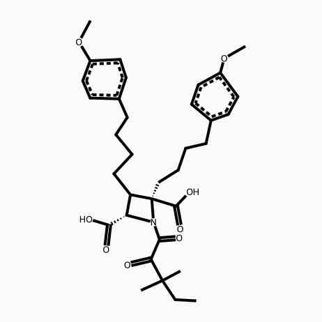 CCC(C)(C)C(=O)C(=O)N1[C@H](C(=O)O)C(CCCCc2ccc(OC)cc2)[C@@]1(CCCCc1ccc(OC)cc1)C(=O)O